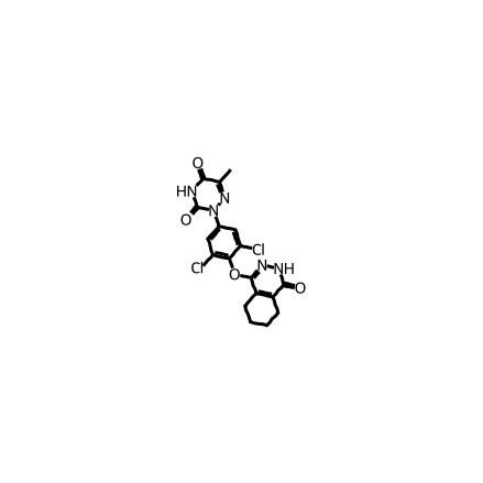 Cc1nn(-c2cc(Cl)c(Oc3n[nH]c(=O)c4c3CCCC4)c(Cl)c2)c(=O)[nH]c1=O